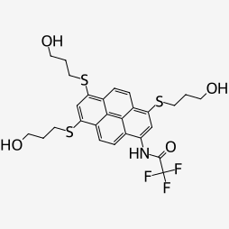 O=C(Nc1cc(SCCCO)c2ccc3c(SCCCO)cc(SCCCO)c4ccc1c2c43)C(F)(F)F